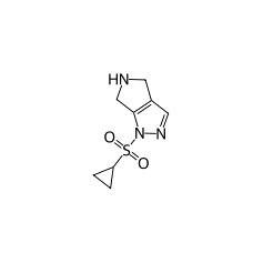 O=S(=O)(C1CC1)n1ncc2c1CNC2